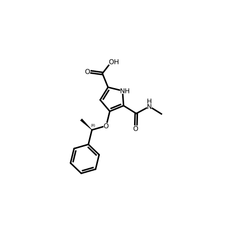 CNC(=O)c1[nH]c(C(=O)O)cc1O[C@H](C)c1ccccc1